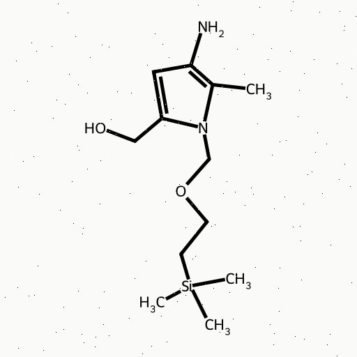 Cc1c(N)cc(CO)n1COCC[Si](C)(C)C